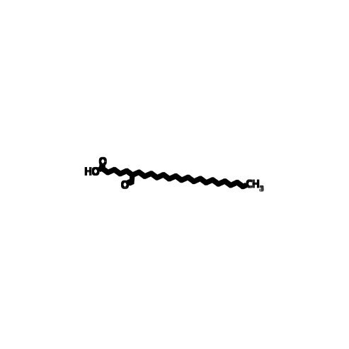 CCCCCCCCCCCCCCCCCCCC(C=O)CCCCC(=O)O